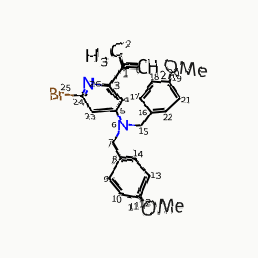 C=C(C)c1cc(N(Cc2ccc(OC)cc2)Cc2ccc(OC)cc2)cc(Br)n1